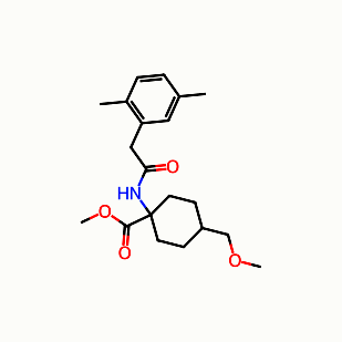 COCC1CCC(NC(=O)Cc2cc(C)ccc2C)(C(=O)OC)CC1